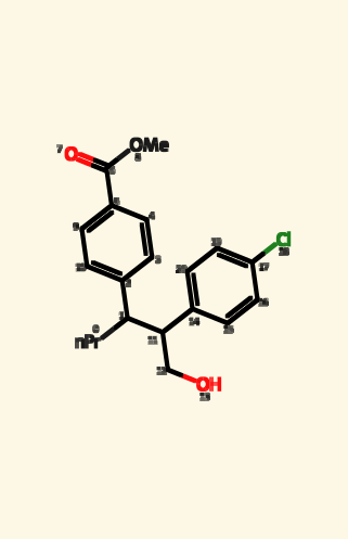 CCCC(c1ccc(C(=O)OC)cc1)C(CO)c1ccc(Cl)cc1